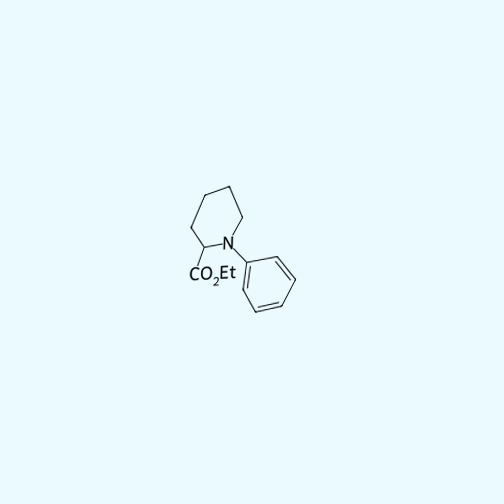 CCOC(=O)C1CCCCN1c1ccccc1